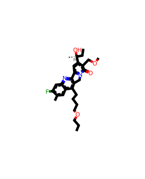 CCCOCCCCc1c2c(nc3cc(F)c(C)cc13)-c1cc([C@@](C)(O)CC)c(COC)c(=O)n1C2